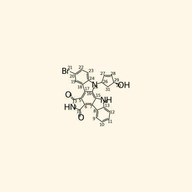 O=C1NC(=O)c2c1c1c3ccccc3[nH]c1c1c2c2cc(Br)ccc2n1C1C=C[C@@H](O)C1